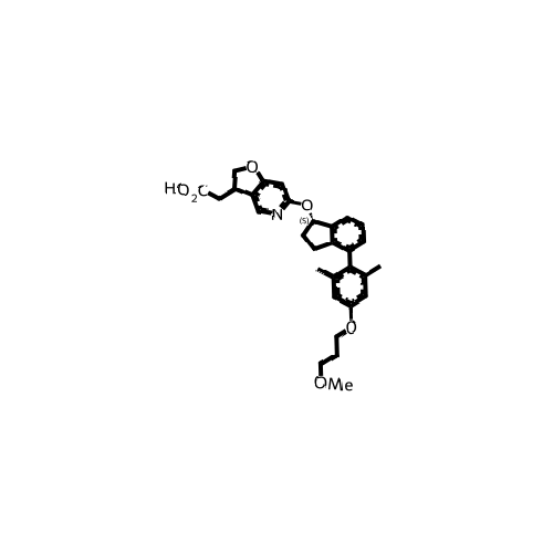 COCCCOc1cc(C)c(-c2cccc3c2CC[C@@H]3Oc2cc3c(cn2)C(CC(=O)O)CO3)c(C)c1